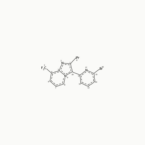 CC(C)c1nc2c(C(F)(F)F)cccn2c1-c1cccc(Br)n1